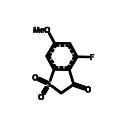 COc1cc(F)c2c(c1)S(=O)(=O)CC2=O